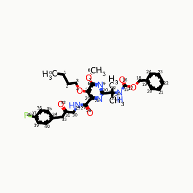 CCCCOc1c(OC)nc(C(C)(C)NC(=O)OCc2ccccc2)nc1C(=O)NCC(=O)Cc1ccc(F)cc1